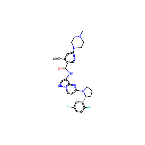 COc1cc(N2CCN(C)CC2)ncc1C(=O)Nc1cnn2ccc(N3CCC[C@@H]3c3cc(F)ccc3F)nc12